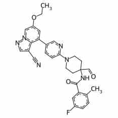 CCOc1cc(-c2ccc(N3CCC(C=O)(NC(=O)c4cc(F)ccc4C)CC3)nc2)c2c(C#N)cnn2c1